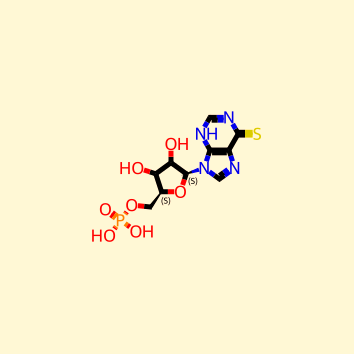 O=P(O)(O)OC[C@@H]1O[C@H](n2cnc3c(=S)nc[nH]c32)C(O)C1O